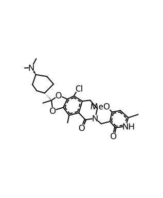 COc1cc(C)[nH]c(=O)c1CN1CCc2c(Cl)c3c(c(C)c2C1=O)OC(C)([C@H]1CC[C@H](N(C)C)CC1)O3